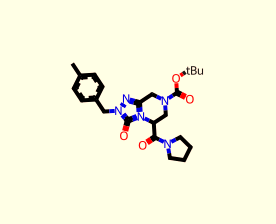 Cc1ccc(Cn2nc3n(c2=O)C(C(=O)N2CCCC2)CN(C(=O)OC(C)(C)C)C3)cc1